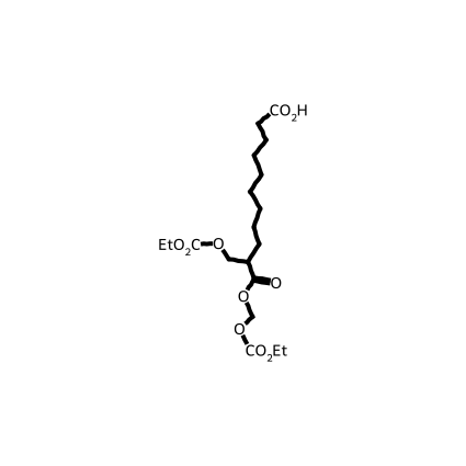 CCOC(=O)OCOC(=O)C(CCCCCCCCC(=O)O)COC(=O)OCC